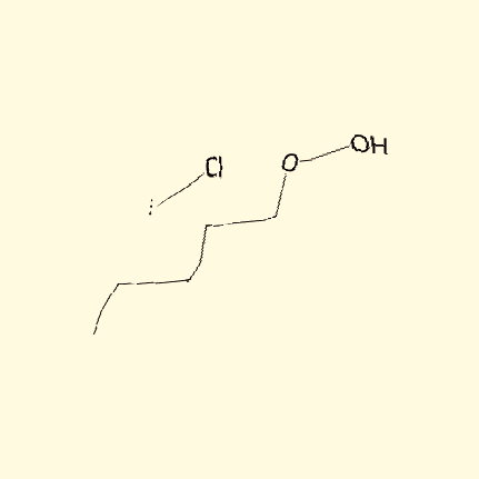 CCCCCOO.[C]Cl